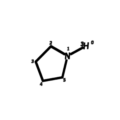 [3H]N1CCCC1